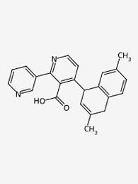 CC1=CC(c2ccnc(-c3cccnc3)c2C(=O)O)c2cc(C)ccc2C1